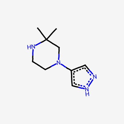 CC1(C)CN(c2cn[nH]c2)CCN1